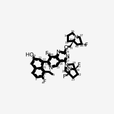 CCc1c(F)ccc2cc(O)cc(-c3ncc4c(N5C[C@]6(F)CC[C@](F)(C5)N6)nc(OC[C@@]56CCCN5C[C@H](F)C6)nc4c3F)c12